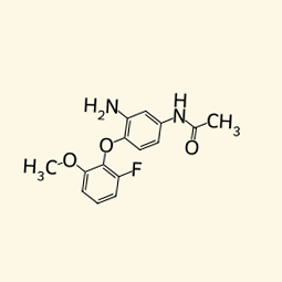 COc1cccc(F)c1Oc1ccc(NC(C)=O)cc1N